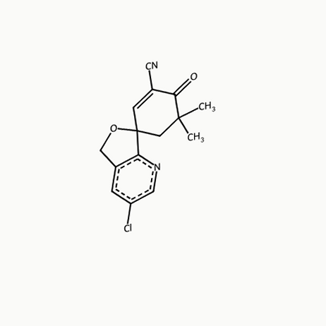 CC1(C)CC2(C=C(C#N)C1=O)OCc1cc(Cl)cnc12